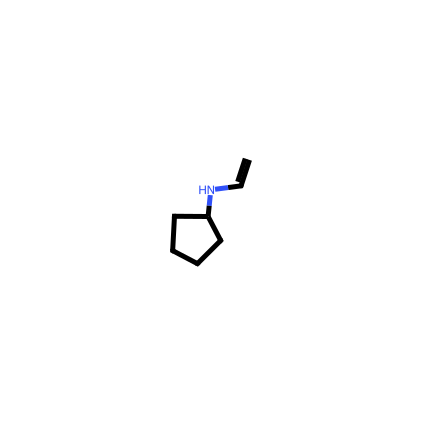 C=CNC1CCCC1